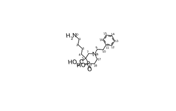 NCCCCC1(C(=O)O)CN(CCc2ccccc2)CCP1(=O)O